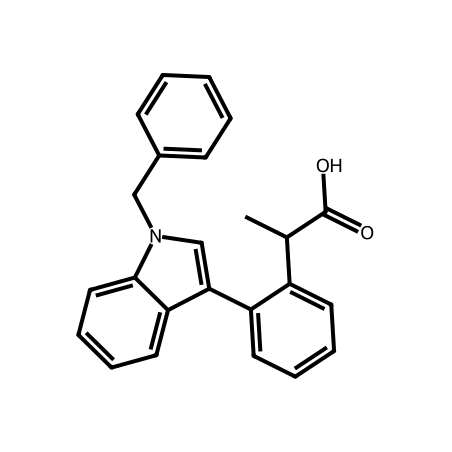 CC(C(=O)O)c1ccccc1-c1cn(Cc2ccccc2)c2ccccc12